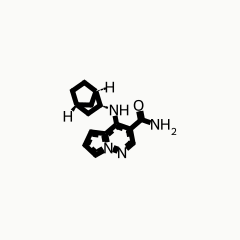 NC(=O)c1cnn2cccc2c1N[C@@H]1C[C@@H]2CC[C@@H]1C2